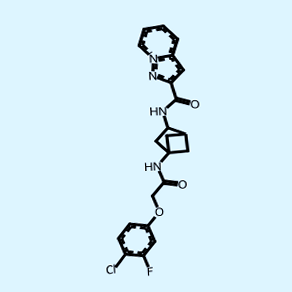 O=C(COc1ccc(Cl)c(F)c1)NC12CC(C1)C(NC(=O)c1cc3ccccn3n1)C2